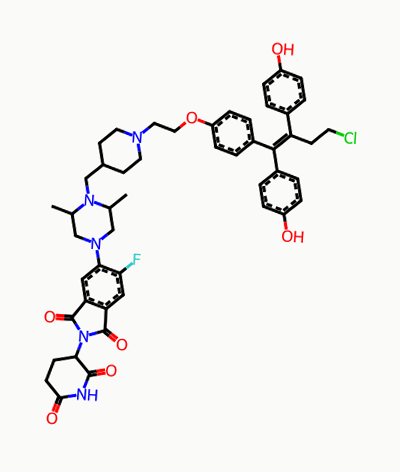 CC1CN(c2cc3c(cc2F)C(=O)N(C2CCC(=O)NC2=O)C3=O)CC(C)N1CC1CCN(CCOc2ccc(C(=C(CCCl)c3ccc(O)cc3)c3ccc(O)cc3)cc2)CC1